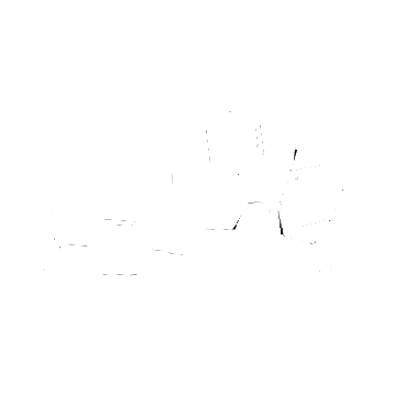 C=C1C[C@]23C[C@H]1CC[C@H]2c1cccc(C)c1[C@@H]3C(=O)OCc1ccc([N+](=O)[O-])cc1